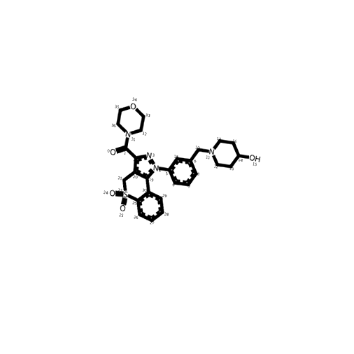 O=C(c1nn(-c2cccc(CN3CCC(O)CC3)c2)c2c1CS(=O)(=O)c1ccccc1-2)N1CCOCC1